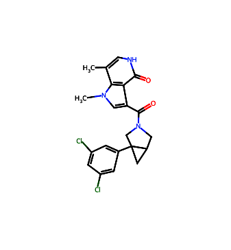 Cc1c[nH]c(=O)c2c(C(=O)N3CC4CC4(c4cc(Cl)cc(Cl)c4)C3)cn(C)c12